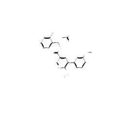 COc1cccc(-c2cc(C(=O)N[C@@H](CC(=O)O)c3ccccc3C)cnc2OC)c1